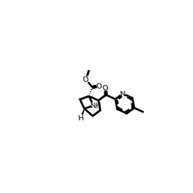 COC(=O)[C@]12C[C@@H](CCC1C(=O)c1ccc(C)cn1)N2